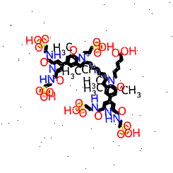 COc1cc(-c2cc(C(=O)NCCS(=O)(=O)O)nc(C(=O)NCCS(=O)(=O)O)c2)cc2c1N(CCCCCC(=O)O)/C(=C/C=C/C=C/C1=[N+](CCCS(=O)(=O)O)c3c(OC)cc(-c4cc(C(=O)NCCS(=O)(=O)O)nc(C(=O)NCCS(=O)(=O)O)c4)cc3C1(C)C)C2(C)C